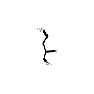 C=CCC(I)C=C